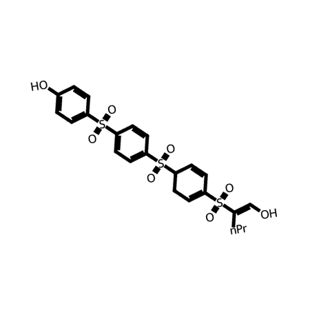 CCC/C(=C\O)S(=O)(=O)C1=CCC(S(=O)(=O)c2ccc(S(=O)(=O)c3ccc(O)cc3)cc2)C=C1